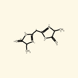 CC1N=C(CC2=NC(C)C(=O)O2)OC1=O